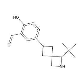 CC(C)(C)C1NCC12CN(c1ccc(O)c(C=O)c1)C2